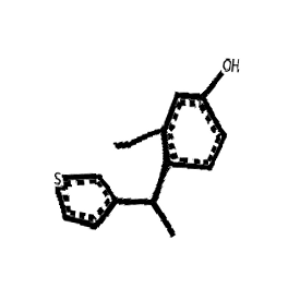 Cc1cc(O)ccc1C(C)c1ccsc1